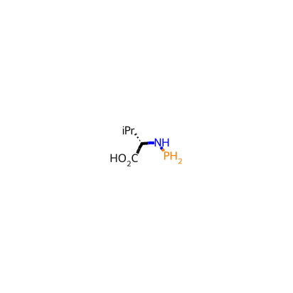 CC(C)[C@H](NP)C(=O)O